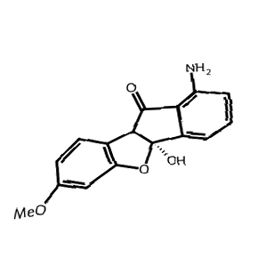 COc1ccc2c(c1)O[C@]1(O)c3cccc(N)c3C(=O)C21